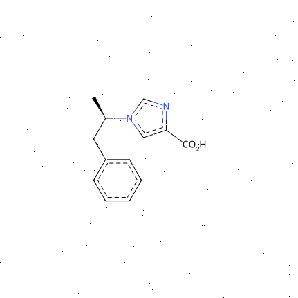 C[C@H](Cc1ccccc1)n1cnc(C(=O)O)c1